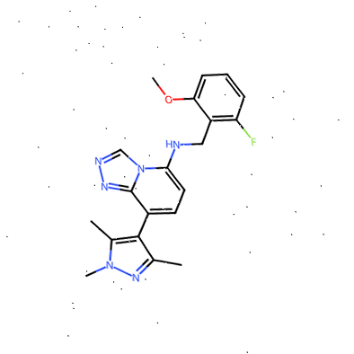 COc1cccc(F)c1CNc1ccc(-c2c(C)nn(C)c2C)c2nncn12